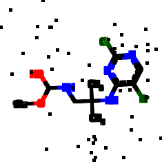 CC(C)(CNC(O)OC(C)(C)C)Nc1nc(Cl)ncc1Br